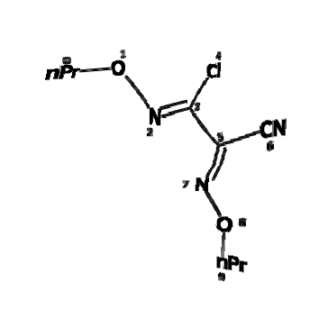 CCCON=C(Cl)C(C#N)=NOCCC